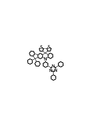 c1ccc(-c2nc(-c3ccccc3)nc(-c3cccc(N4c5ccccc5C5(c6cc7c(cc64)C(c4ccccc4)(c4ccccc4)c4ccccc4-7)c4ccsc4-c4sccc45)c3)n2)cc1